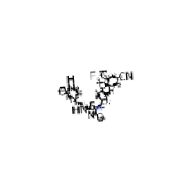 N#Cc1ccc(Oc2ccc(/C=C3\SC(NCCN4CCNC(=O)C4)=NC3=O)cc2F)c(C(F)(F)F)c1